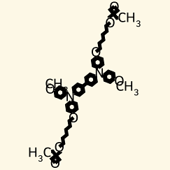 CCC1(COCCCCCCOc2ccc(N(c3ccc(OC)cc3)c3ccc(-c4ccc(N(c5ccc(OC)cc5)c5ccc(OCCCCCCOCC6(CC)COC6)cc5)cc4)cc3)cc2)COC1